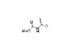 COC(=O)NC([O])=S